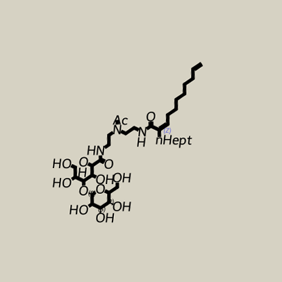 C=CCCCCCC/C=C(/CCCCCCC)C(=O)NCCN(CCNC(=O)C(O)C(O)C(O[C@@H]1OC(CO)[C@H](O)[C@H](O)C1O)C(O)CO)C(C)=O